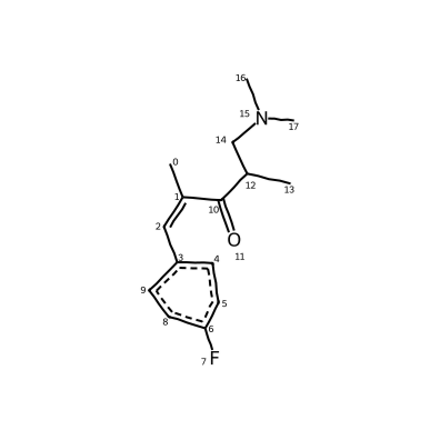 CC(=Cc1ccc(F)cc1)C(=O)C(C)CN(C)C